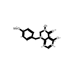 CCN1CN(Cc2ccc(OC)cc2)c2ncnc(Cl)c2C1=O